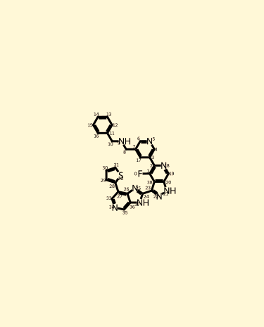 Fc1c(-c2cncc(CNCc3ccccc3)c2)ncc2[nH]nc(-c3nc4c(-c5cccs5)cncc4[nH]3)c12